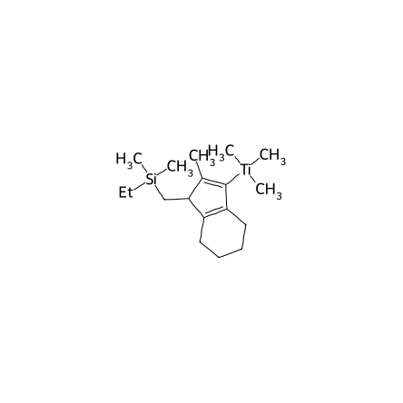 CC[Si](C)(C)CC1C(C)=[C]([Ti]([CH3])([CH3])[CH3])C2=C1CCCC2